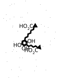 O=C(O)C1(CCCCCCc2cc(O)c(O)c(CCCCC3(C(=O)O)CC3)c2O)CC1